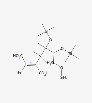 CC(C)/C(C(=O)O)=C(\C(=O)O)C(C)(C)C(C)(O[Si](C)(C)C)C(O[Si](C)(C)C)[SiH2]O[SiH3]